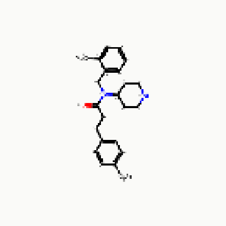 COc1ccc(CCC(=O)N(Cc2ccccc2OC)C2CCNCC2)cc1